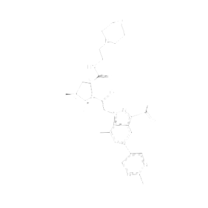 CC(=O)c1nn(CC(=O)N2[C@H](C)[C@@H](C)C[C@H]2C(=O)NCCN2CCOCC2)c2c(C)cc(-c3cnc(C)nc3)cc12